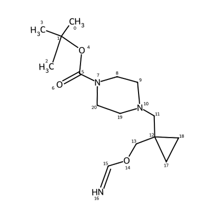 CC(C)(C)OC(=O)N1CCN(CC2(COC=N)CC2)CC1